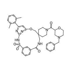 Cc1cccc(C)c1-c1cc2nc(n1)NS(=O)(=O)c1cccc(c1)C(=O)NCC1(CCN(C(=O)C3CN(Cc4ccccc4)CCO3)CC1)CO2